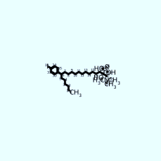 CCCCCCC(CCCCCCCCCCCC(O)(C[N+](C)(C)C)P(=O)(O)O)c1ccc(I)cc1